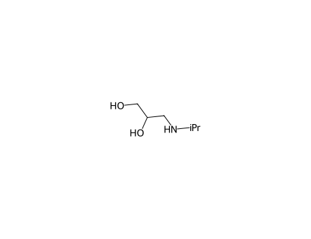 CC(C)NCC(O)CO